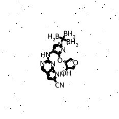 BC(B)(B)n1cc(Nc2ncc3cc(C#N)[nH]c3n2)c(O[C@@H]2COCC2O)n1